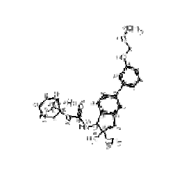 COCOc1cccc(-c2ccc3c(c2)CC(C)(C)C3NC(=O)O[C@H]2CN3CCC2CC3)c1